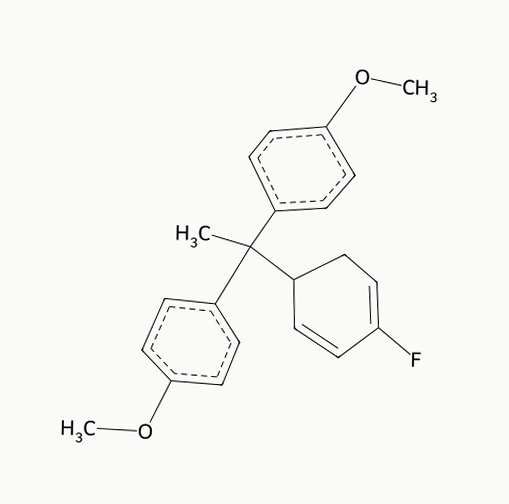 COc1ccc(C(C)(c2ccc(OC)cc2)C2C=CC(F)=CC2)cc1